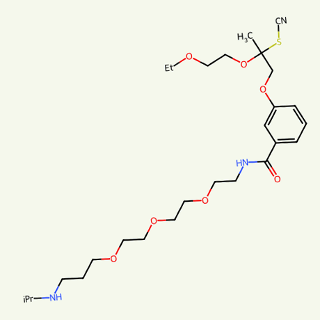 CCOCCOC(C)(COc1cccc(C(=O)NCCOCCOCCOCCCNC(C)C)c1)SC#N